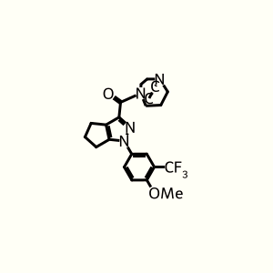 COc1ccc(-n2nc(C(=O)N3CCN4CCC3CC4)c3c2CCC3)cc1C(F)(F)F